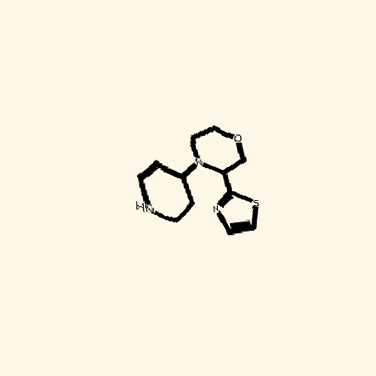 c1csc(C2COCCN2C2CCNCC2)n1